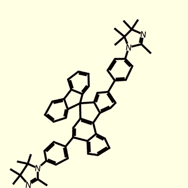 CC1=NC(C)(C)C(C)(C)N1c1ccc(-c2ccc3c(c2)C2(c4ccccc4-c4ccccc42)c2cc(-c4ccc(N5C(C)=NC(C)(C)C5(C)C)cc4)c4ccccc4c2-3)cc1